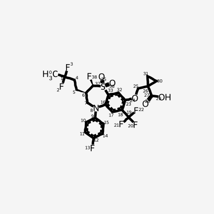 CC(F)(F)CC[C@@H]1CN(c2ccc(F)cc2)c2cc(C(F)(F)F)c(OCC3(C(=O)O)CC3)cc2S(=O)(=O)[C@@H]1F